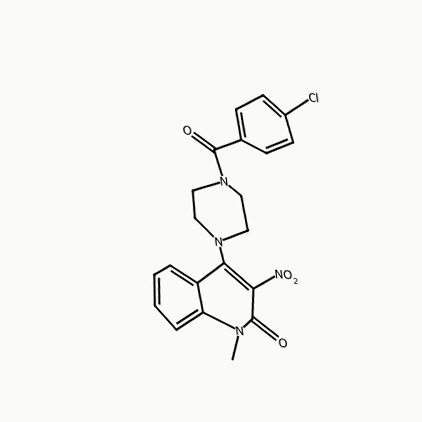 Cn1c(=O)c([N+](=O)[O-])c(N2CCN(C(=O)c3ccc(Cl)cc3)CC2)c2ccccc21